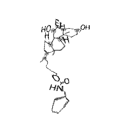 CC[C@H]1[C@@H](O)C2[C@@H]3CC[C@H]([C@H](C)CCCOC(=O)NCc4ccccc4)C3(C)CC[C@@H]2C2(C)CC[C@@H](O)C[C@@H]12